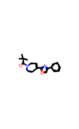 CC(C)(C)C(=O)N1CCC(c2nc(-c3ccccc3)co2)CC1